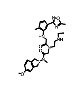 CCNCCN(CC(=O)N(C)N1Cc2ccc(OC)cc2C1)C(=O)CNc1cc(-c2noc(C)n2)ccc1C